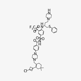 CC1(C)CCC(CN2CCN(c3ccc(C(=O)NS(=O)(=O)c4ccc(NC(CCN5CCNCC5)CSc5ccccc5)c(S(=O)(=O)C(F)(F)F)c4)cc3)CC2)=C(C23CC(Cl)(C2)C3)C1